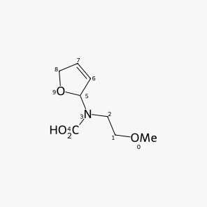 COCCN(C(=O)O)C1C=CCO1